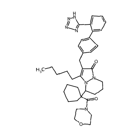 CCCCCc1c(Cc2ccc(-c3ccccc3-c3nnn[nH]3)cc2)c(=O)n2n1C(C1(C(=O)N3CCOCC3)CCCCC1)CCC2